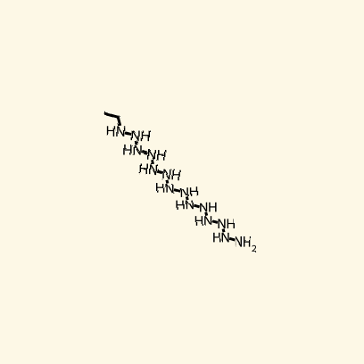 CCNNNNNNNNNNNNNN